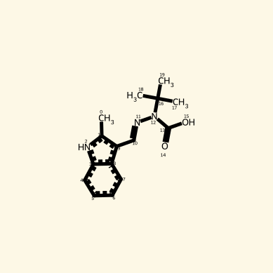 Cc1[nH]c2ccccc2c1C=NN(C(=O)O)C(C)(C)C